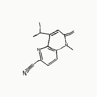 C=C1C=C(C(C)C)c2nc(C#N)ccc2N1C